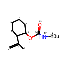 C=C(C)C1CCCCC1OC(=O)NCCCC